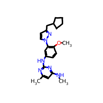 CNc1cc(C)nc(Nc2ccc(OC)c(-n3ccc(CC4CCCC4)n3)c2)n1